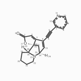 O=C1C=C2C(C#Cc3cccnc3)=C[C@@H]3C[C@@]2(O1)[C@H]1CCCCN31